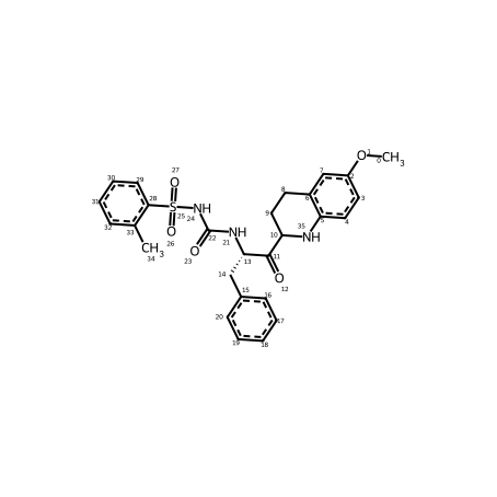 COc1ccc2c(c1)CCC(C(=O)[C@H](Cc1ccccc1)NC(=O)NS(=O)(=O)c1ccccc1C)N2